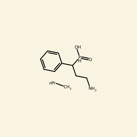 CCCC.NCCC(c1ccccc1)[PH](=O)O